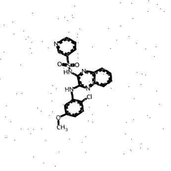 COc1ccc(Cl)c(Nc2nc3ccccc3nc2NS(=O)(=O)c2cccnc2)c1